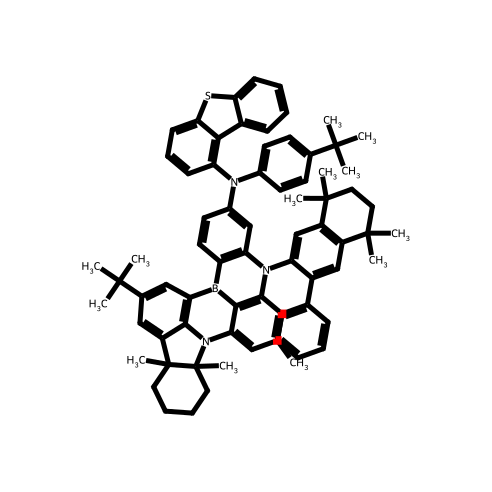 Cc1cc2c3c(c1)N1c4c(cc(C(C)(C)C)cc4C4(C)CCCCC14C)B3c1ccc(N(c3ccc(C(C)(C)C)cc3)c3cccc4sc5ccccc5c34)cc1N2c1cc2c(cc1-c1ccccc1)C(C)(C)CCC2(C)C